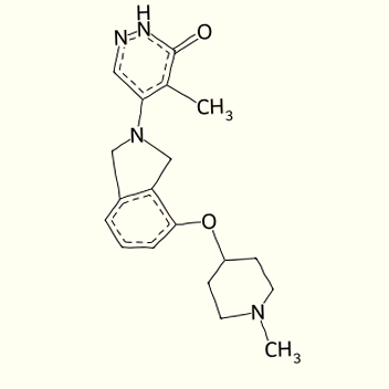 Cc1c(N2Cc3cccc(OC4CCN(C)CC4)c3C2)cn[nH]c1=O